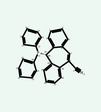 N#CC1=Cc2ccccc2[C@@H](P(c2ccccc2)c2ccccc2)c2ccccc21